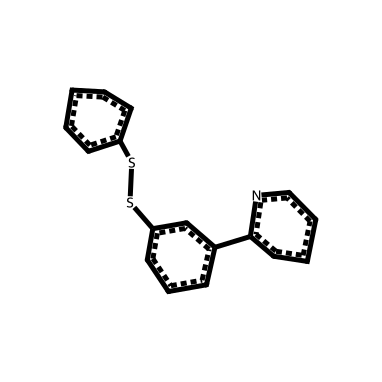 c1ccc(SSc2cccc(-c3ccccn3)c2)cc1